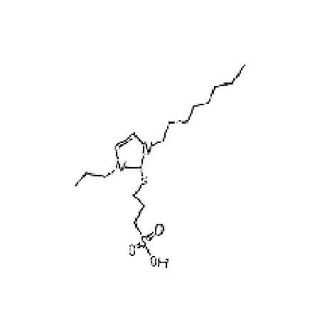 CCCCCCCCN1C=CN(CCC)C1SCCCS(=O)(=O)O